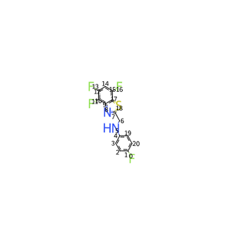 Fc1ccc(NCc2nc3c(F)c(F)cc(F)c3s2)cc1